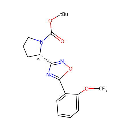 CC(C)(C)OC(=O)N1CCC[C@H]1c1noc(-c2ccccc2OC(F)(F)F)n1